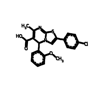 COc1ccccc1C1C(C(=O)O)=C(C)N=C2SC(c3ccc(Cl)cc3)=CN21